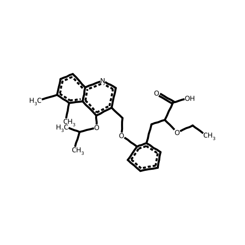 CCOC(Cc1ccccc1OCc1cnc2ccc(C)c(C)c2c1OC(C)C)C(=O)O